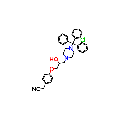 N#CCc1ccc(OCC(O)CN2CCN(C(c3ccccc3)(c3ccccc3)c3ccccc3Cl)CC2)cc1